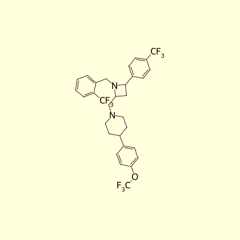 FC(F)(F)Oc1ccc(C2CCN(CC3CC(c4ccc(C(F)(F)F)cc4)N3Cc3ccccc3C(F)(F)F)CC2)cc1